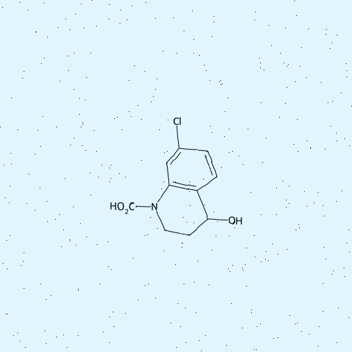 O=C(O)N1CCC(O)c2ccc(Cl)cc21